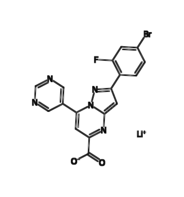 O=C([O-])c1cc(-c2cncnc2)n2nc(-c3ccc(Br)cc3F)cc2n1.[Li+]